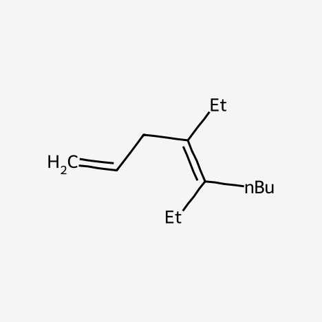 C=CCC(CC)=C(CC)CCCC